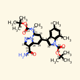 Cc1cc(C)c2c(c1)c(-c1cc(N(C)C(=O)OC(C)(C)C)n3ncc(C(N)=O)c3c1)cn2C(=O)OC(C)(C)C